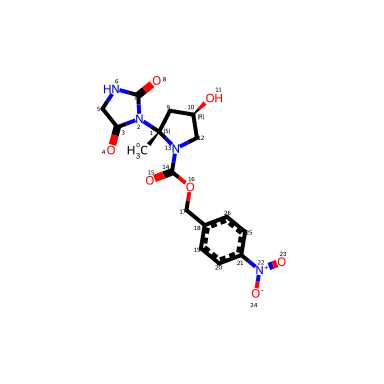 C[C@@]1(N2C(=O)CNC2=O)C[C@@H](O)CN1C(=O)OCc1ccc([N+](=O)[O-])cc1